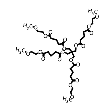 COCCOC(=O)CCCC(=O)OCC(COC(=O)CCCC(=O)OCCOC)(COC(=O)CCCC(=O)OCCOC)COC(=O)CCCC(=O)OCCOC